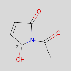 CC(=O)N1C(=O)C=C[C@H]1O